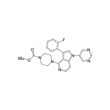 CC(C)(C)OC(=O)N1CCN(c2nccc3c2c(-c2ccccc2F)cn3-c2cncnc2)CC1